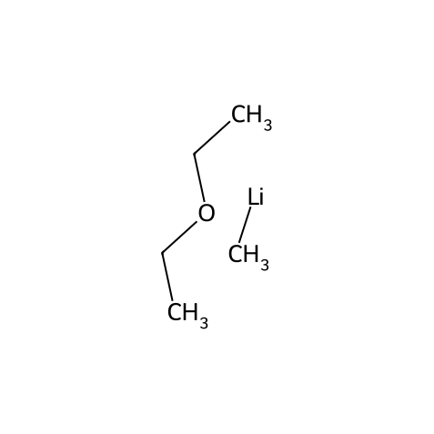 CCOCC.[Li][CH3]